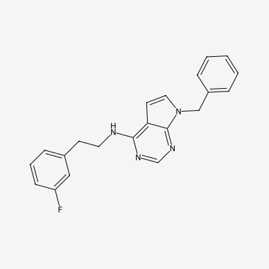 Fc1cccc(CCNc2ncnc3c2ccn3Cc2ccccc2)c1